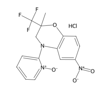 CC1(C(F)(F)F)CN(c2cccc[n+]2[O-])c2cc([N+](=O)[O-])ccc2O1.Cl